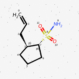 C=CC[C@@H]1CCC[C@H]1S(N)(=O)=O